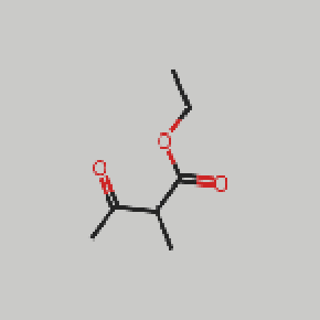 CCOC(=O)[C](C)C(C)=O